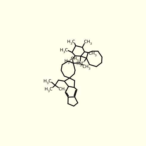 CC1C(C)C(C)C(N(C)C2(C)CCCCC3(CC2)CC2C=C4CCCC4=CC2C3CC(C)(C)C)(C2(C)CCCCCCC2)C(C)C1C